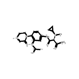 CCN(C1CC1)[C@@H](C(N)=O)C(=O)Nc1ccc(N2CCOCC2=O)c(OC(F)F)c1